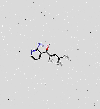 C=C(C)/C=C(\C)C(=O)c1cccnc1N